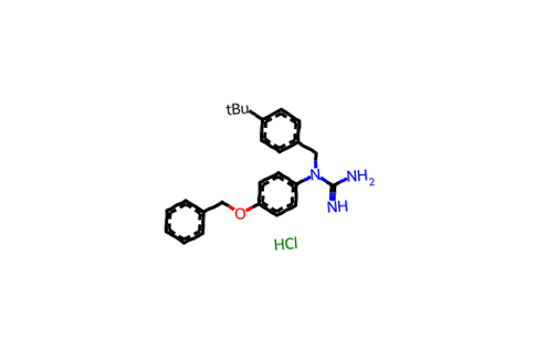 CC(C)(C)c1ccc(CN(C(=N)N)c2ccc(OCc3ccccc3)cc2)cc1.Cl